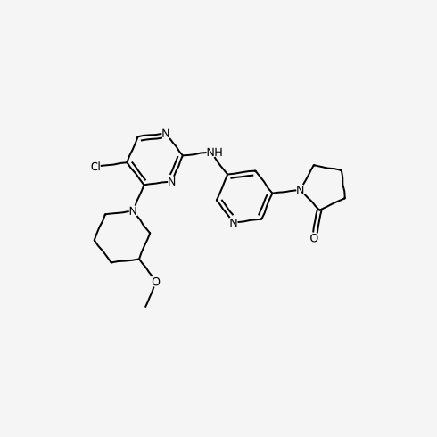 COC1CCCN(c2nc(Nc3cncc(N4CCCC4=O)c3)ncc2Cl)C1